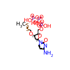 CSSCO[C@H]1C[C@H](n2ccc(N)nc2=O)O[C@@H]1COP(=O)(O)OP(=O)(O)OP(=O)(O)O